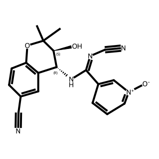 CC1(C)Oc2ccc(C#N)cc2[C@@H](NC(=NC#N)c2ccc[n+]([O-])c2)[C@@H]1O